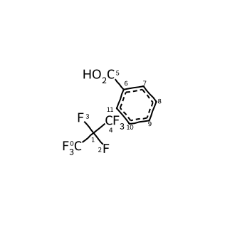 FC(F)(F)C(F)(F)C(F)(F)F.O=C(O)c1ccccc1